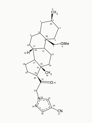 COC[C@]12CC[C@H](C)CC1CC[C@@H]1C2CC[C@@]2(C)C1CC[C@@H]2C(=O)Cn1cc(C#N)cn1